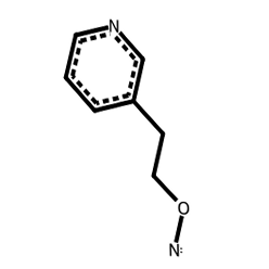 [N]OCCc1cccnc1